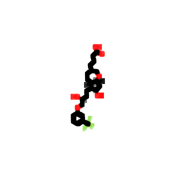 O=C(O)CCCC1CC[C@@H]2C(CC[C@@H](O)COc3cccc(C(F)(F)F)c3)[C@H](O)C[C@@H]2OC1